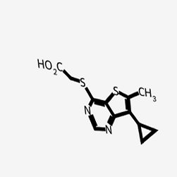 Cc1sc2c(SCC(=O)O)ncnc2c1C1CC1